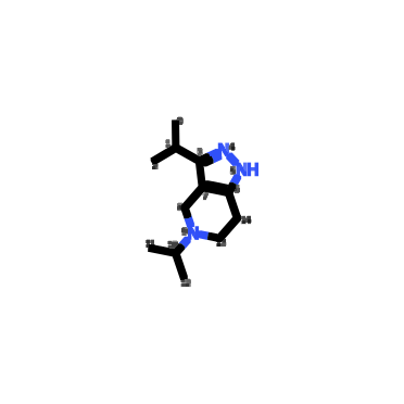 CC(C)c1n[nH]c2c1CN(C(C)C)CC2